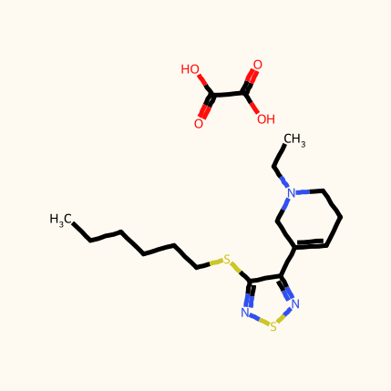 CCCCCCSc1nsnc1C1=CCCN(CC)C1.O=C(O)C(=O)O